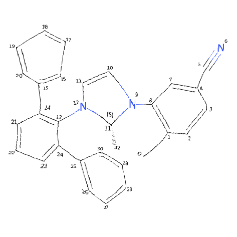 Cc1ccc(C#N)cc1N1C=CN(c2c(-c3ccccc3)cccc2-c2ccccc2)[C@H]1C